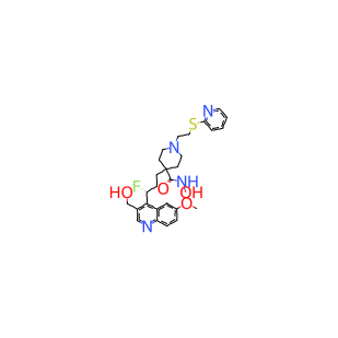 COc1ccc2ncc(CO)c([C@H](F)CCC3(C(=O)NO)CCN(CCSc4ccccn4)CC3)c2c1